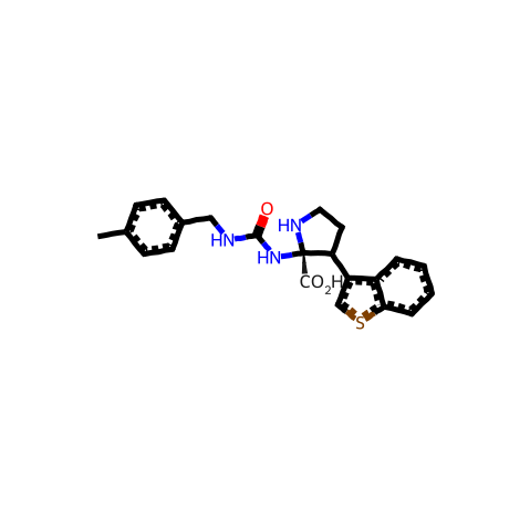 Cc1ccc(CNC(=O)N[C@]2(C(=O)O)NCCC2c2csc3ccccc23)cc1